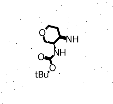 CC(C)(C)OC(=O)N[C@H]1COCCC1=N